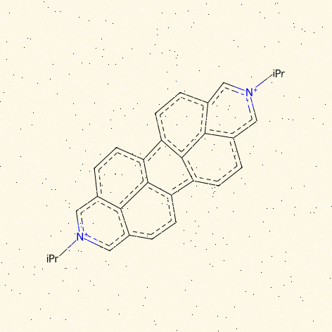 CC(C)[n+]1cc2ccc3c4ccc5c[n+](C(C)C)cc6ccc(c7ccc(c1)c2c37)c4c56